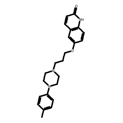 Cc1ccc(N2CCN(CCCOc3ccc4[nH]c(=O)ccc4c3)CC2)cc1